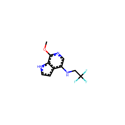 COc1ncc(NCC(F)(F)F)c2cc[nH]c12